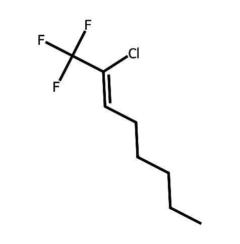 CCCCCC=C(Cl)C(F)(F)F